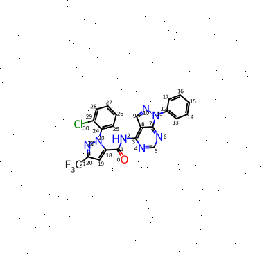 O=C(Nc1ncnc2c1cnn2-c1ccccc1)c1cc(C(F)(F)F)nn1-c1ccccc1Cl